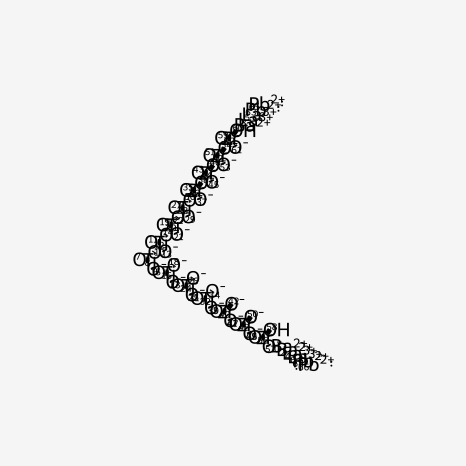 [Ba+2].[Ba+2].[Ba+2].[La+3].[La+3].[La+3].[La+3].[O]=[Ti]([O-])[O-].[O]=[Ti]([O-])[O-].[O]=[Ti]([O-])[O-].[O]=[Ti]([O-])[O-].[O]=[Ti]([O-])[O-].[O]=[Ti]([O-])[O-].[O]=[Ti]([O-])[O-].[O]=[Zr]([O-])[O-].[O]=[Zr]([O-])[O-].[O]=[Zr]([O-])[O-].[O]=[Zr]([O-])[O-].[O]=[Zr]([O-])[O-].[O]=[Zr]([O-])[OH].[O]=[Zr]([O-])[OH].[Pb+2].[Pb+2].[Pb+2].[Pb+2]